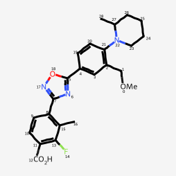 COCc1cc(-c2nc(-c3ccc(C(=O)O)c(F)c3C)no2)ccc1N1CCCCC1C